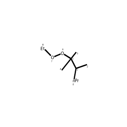 CCCC(C)C(C)(C)OOCC